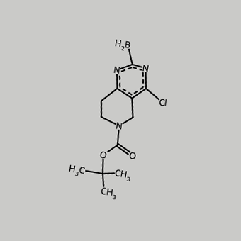 Bc1nc(Cl)c2c(n1)CCN(C(=O)OC(C)(C)C)C2